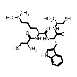 CN(C)CCCC[C@H](NC(=O)[C@@H](N)CS)C(=O)N[C@@H](Cc1c[nH]c2ccccc12)C(=O)N[C@@H](CS)C(=O)O